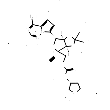 CC1(C)O[C@H]2[C@H](c3ccc4c(N)ncnn34)O[C@](C#N)(COC(=O)O[C@H]3CCOC3)[C@H]2O1